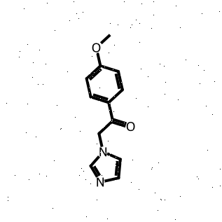 COc1ccc(C(=O)Cn2ccnc2)cc1